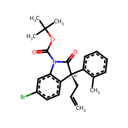 C=CC[C@]1(c2ccccc2C)C(=O)N(C(=O)OC(C)(C)C)c2cc(Br)ccc21